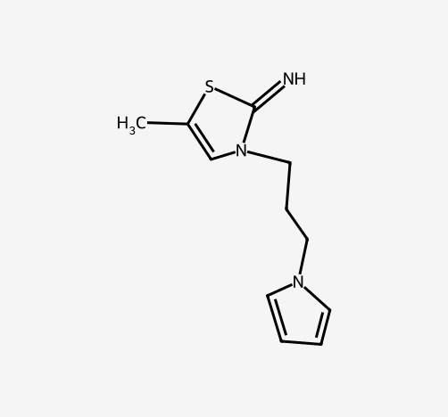 Cc1cn(CCCn2cccc2)c(=N)s1